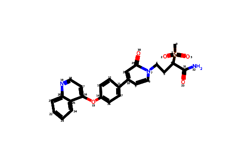 CS(=O)(=O)C(CCn1ccc(-c2ccc(Oc3ccnc4ccccc34)cc2)cc1=O)C(N)=O